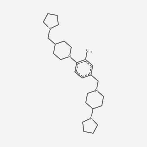 FC(F)(F)c1cc(CN2CCC(N3CCCC3)CC2)ccc1N1CCC(CN2CCCC2)CC1